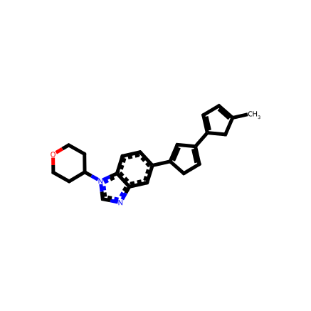 CC1=CC=C(C2=CCC(c3ccc4c(c3)ncn4C3CCOCC3)=C2)C1